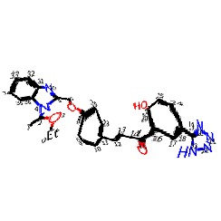 CCOC(C)n1c(COc2ccc(/C=C/C(=O)c3cc(-c4nnn[nH]4)ccc3O)cc2)nc2ccccc21